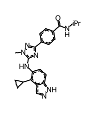 CC(C)NC(=O)c1ccc(-c2nc(Nc3ccc4[nH]ncc4c3C3CC3)n(C)n2)cc1